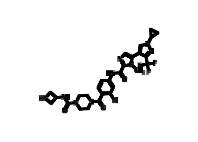 Cn1c(-c2cn(C3CC3)nc2C(F)(F)F)cnc1C(=O)Nc1ccc(C(=O)N2CCN(C(=O)NC3CNC3)CC2)c(Cl)c1